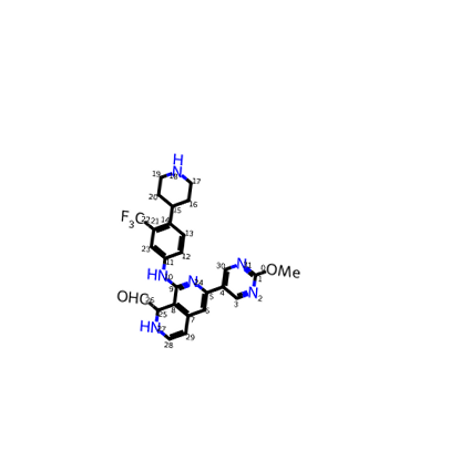 COc1ncc(-c2cc3c(c(Nc4ccc(C5CCNCC5)c(C(F)(F)F)c4)n2)C(C=O)NC=C3)cn1